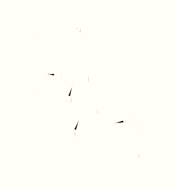 C[C@]1(O)CC[C@H]2[C@@H]3CC[C@]45O[C@]4(C)C(=O)[C@H](C#N)C[C@]5(C)[C@H]3CC[C@@]21C